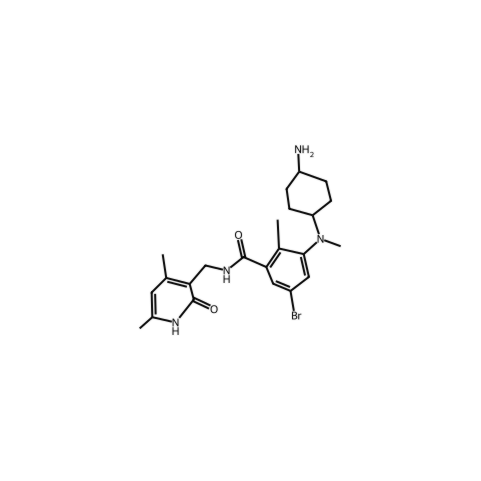 Cc1cc(C)c(CNC(=O)c2cc(Br)cc(N(C)C3CCC(N)CC3)c2C)c(=O)[nH]1